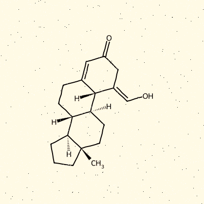 C[C@@]12CCC[C@H]1[C@@H]1CCC3=CC(=O)C/C(=C\O)[C@@H]3[C@H]1CC2